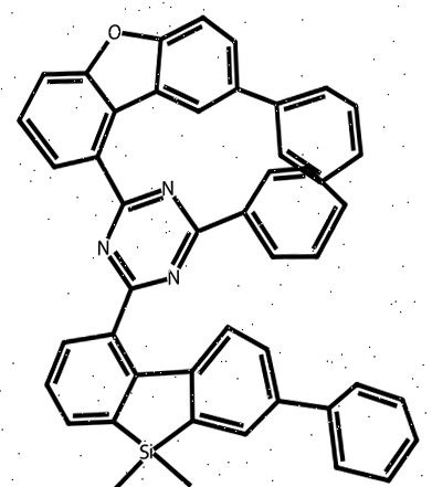 C[Si]1(C)c2cc(-c3ccccc3)ccc2-c2c(-c3nc(-c4ccccc4)nc(-c4cccc5oc6ccc(-c7ccccc7)cc6c45)n3)cccc21